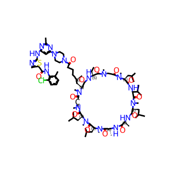 CC[C@@H]1NC(=O)[C@H](C[C@H](C)CCCC(=O)N2CCN(c3cc(Nc4ncc(C(=O)Nc5c(C)cccc5Cl)s4)nc(C)n3)CC2)N(C)C(=O)CN(C)C(=O)[C@H](CC(C)C)N(C)C(=O)[C@H](CC(C)C)N(C)C(=O)[C@@H](C)NC(=O)[C@H](C)NC(=O)[C@H](CC(C)C)N(C)C(=O)C(C(C)C)NC(=O)[C@H](CC(C)C)N(C)C(=O)CN(C)C1=O